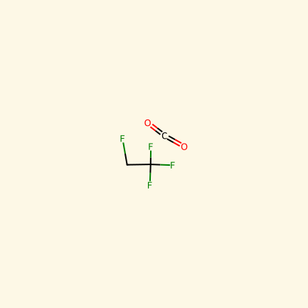 FCC(F)(F)F.O=C=O